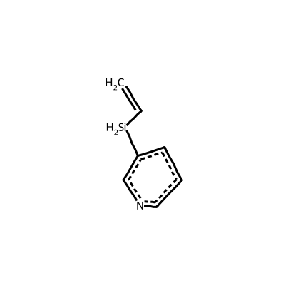 C=C[SiH2]c1cccnc1